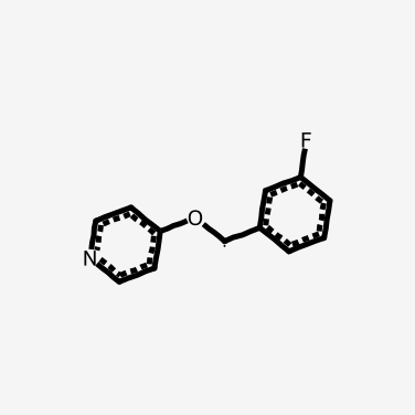 Fc1cccc([CH]Oc2ccncc2)c1